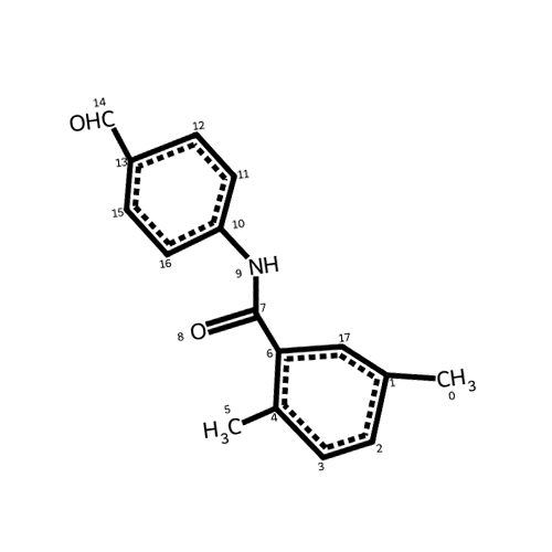 Cc1ccc(C)c(C(=O)Nc2ccc(C=O)cc2)c1